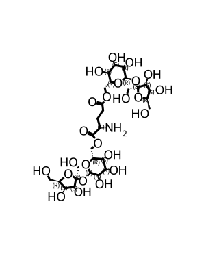 N[C@@H](CCC(=O)OC[C@H]1O[C@H](O[C@]2(CO)O[C@H](CO)[C@@H](O)[C@@H]2O)[C@H](O)[C@@H](O)[C@@H]1O)C(=O)OC[C@H]1O[C@H](O[C@]2(CO)O[C@H](CO)[C@@H](O)[C@@H]2O)[C@H](O)[C@@H](O)[C@@H]1O